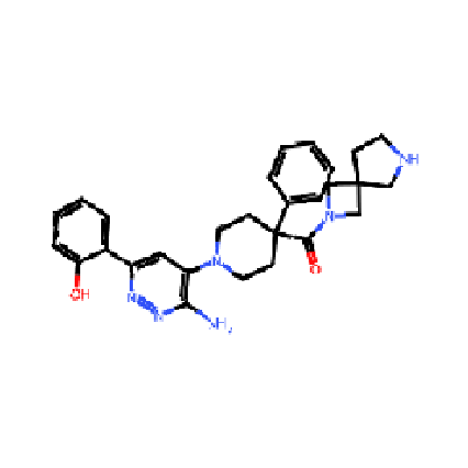 Nc1nnc(-c2ccccc2O)cc1N1CCC(C(=O)N2CC3(CCNC3)C2)(c2ccccc2)CC1